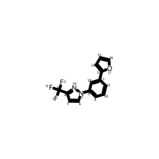 FC(F)(F)c1ccn(-c2cccc(-c3ccco3)c2)n1